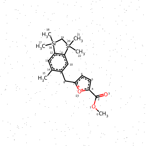 COC(=O)c1ccc(Cc2cc3c(cc2C)[Si](C)(C)C[Si]3(C)C)o1